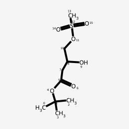 CC(C)(C)OC(=O)CC(O)COS(C)(=O)=O